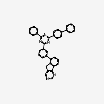 c1ccc(-c2ccc(-c3nc(-c4ccccc4)nc(-c4cccc(-c5cccc6c5Cc5cncnc5-6)c4)n3)cc2)cc1